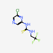 FC(F)(F)CNC(=S)Nc1cncc(Cl)n1